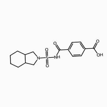 O=C(O)c1ccc(C(=O)NS(=O)(=O)N2CC3CCCCC3C2)cc1